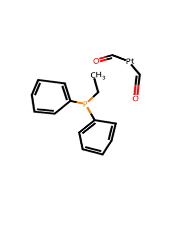 CCP(c1ccccc1)c1ccccc1.O=[CH][Pt][CH]=O